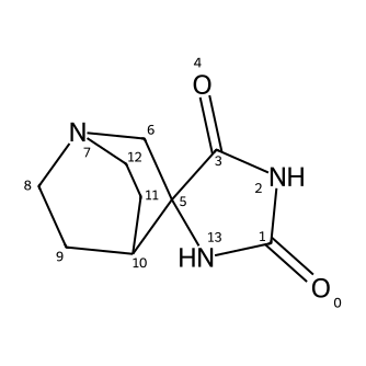 O=C1NC(=O)C2(CN3CCC2CC3)N1